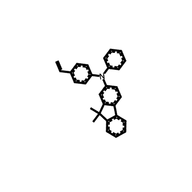 C=Cc1ccc(N(c2ccccc2)c2ccc3c(c2)C(C)(C)c2ccccc2-3)cc1